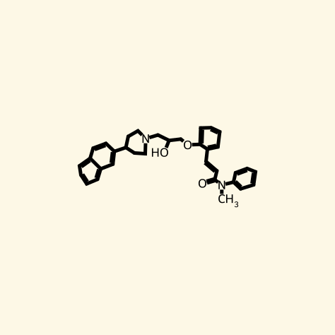 CN(C(=O)C=Cc1ccccc1OCC(O)CN1CCC(c2ccc3ccccc3c2)CC1)c1ccccc1